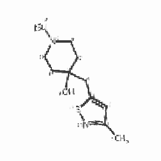 Cc1cc(CC2(O)CCN(C(C)(C)C)CC2)sn1